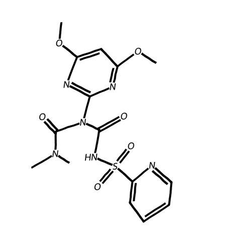 COc1cc(OC)nc(N(C(=O)NS(=O)(=O)c2ccccn2)C(=O)N(C)C)n1